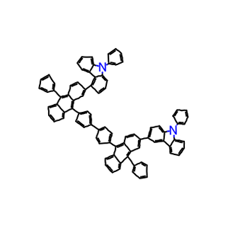 c1ccc(-c2c3ccccc3c(-c3ccc(-c4ccc(-c5c6ccccc6c(-c6ccccc6)c6cc(-c7ccc8c(c7)c7ccccc7n8-c7ccccc7)ccc56)cc4)cc3)c3cc(-c4cccc5c4c4ccccc4n5-c4ccccc4)ccc23)cc1